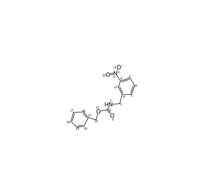 O=C(NCc1cccc([N+](=O)[O-])c1)OCc1ccccc1